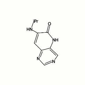 CC(C)Nc1cc2ncncc2[nH]c1=O